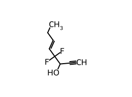 C#CC(O)C(F)(F)/C=C/CC